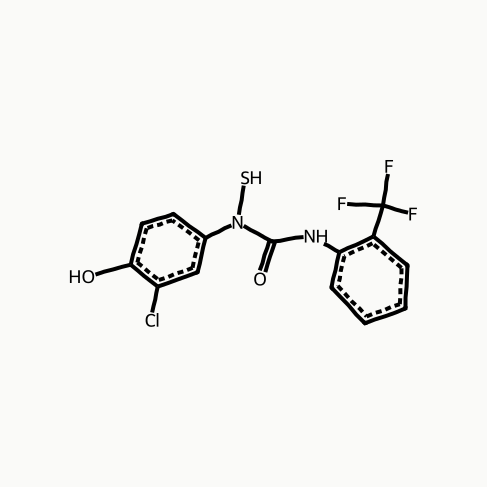 O=C(Nc1ccccc1C(F)(F)F)N(S)c1ccc(O)c(Cl)c1